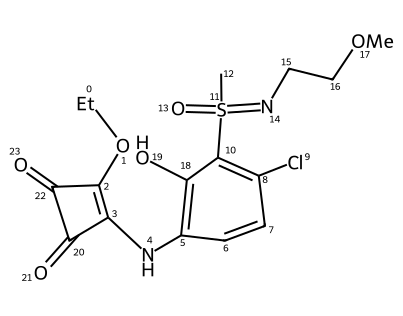 CCOc1c(Nc2ccc(Cl)c(S(C)(=O)=NCCOC)c2O)c(=O)c1=O